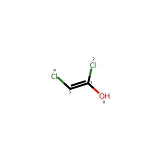 OC(Cl)=CCl